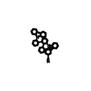 N#Cc1ccc2c(c1)c1ccccc1n2-c1cccc(-c2ccccc2-n2c3ccccc3c3ccccc32)c1-c1ccccc1C#N